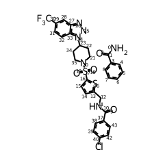 NC(=O)c1ccccc1.O=C(NCc1ccc(S(=O)(=O)N2CCC(n3nnc4cc(C(F)(F)F)ccc43)CC2)s1)c1ccc(Cl)cc1